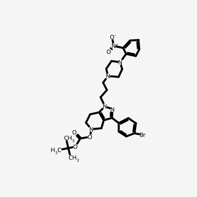 CC(C)(C)OC(=O)ON1CCc2c(c(-c3ccc(Br)cc3)nn2CCCN2CCN(c3ccccc3[N+](=O)[O-])CC2)C1